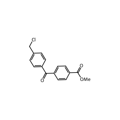 COC(=O)c1ccc(C(=O)c2ccc(CCl)cc2)cc1